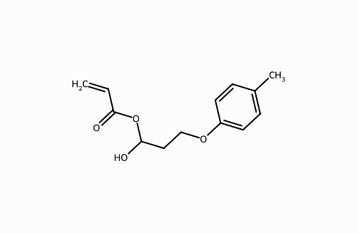 C=CC(=O)OC(O)CCOc1ccc(C)cc1